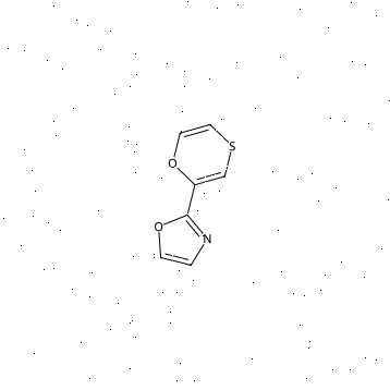 C1=CSC=C(c2ncco2)O1